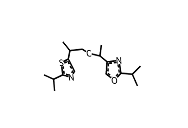 CC(C)c1nc(C(C)CCC(C)c2cnc(C(C)C)s2)co1